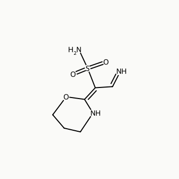 N=C/C(=C1\NCCCO1)S(N)(=O)=O